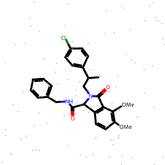 COc1ccc2c(c1OC)C(=O)N(CC(C)c1ccc(Cl)cc1)C2C(=O)NCc1ccccc1